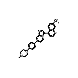 CN1CCN(c2ccc(-c3ccn4c(-c5ccnc6cc(C(F)(F)F)ccc56)cnc4c3)cc2)CC1